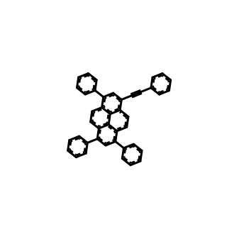 C(#Cc1cc(-c2ccccc2)c2ccc3c(-c4ccccc4)cc(-c4ccccc4)c4ccc1c2c43)c1ccccc1